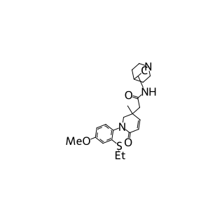 CCSc1cc(OC)ccc1N1CC(C)(CC(=O)NC2CN3CCC2CC3)C=CC1=O